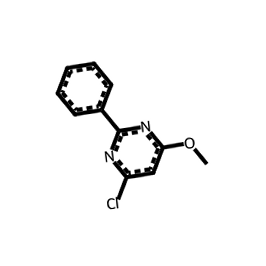 COc1cc(Cl)nc(-c2ccccc2)n1